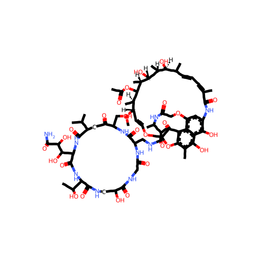 CO[C@H]1/C=C/O[C@@]2(C)Oc3c(C)c(O)c4c(O)c(cc(OCC(=O)NC(C)C(C)C(=O)NCC5NC(=O)CNC(=O)C(O)CNC(=O)C(C(C)O)NC(=O)C(C(O)C(O)C(N)=O)NC(=O)C(C(C)C)CC(=O)C(CO)NC5=O)c4c3C2=O)NC(=O)/C(C)=C\C=C\C(C)[C@H](O)[C@@H](C)[C@@H](O)[C@@H](C)C(OC(C)=O)[C@@H]1C